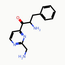 NCc1nccc(C(=O)C(N)Cc2ccccc2)n1